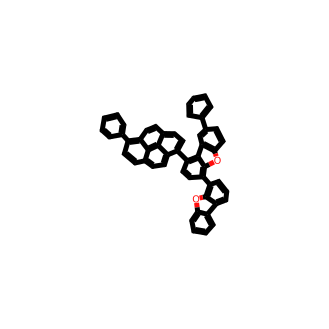 c1ccc(-c2ccc3oc4c(-c5cccc6c5oc5ccccc56)ccc(-c5ccc6ccc7c(-c8ccccc8)ccc8ccc5c6c87)c4c3c2)cc1